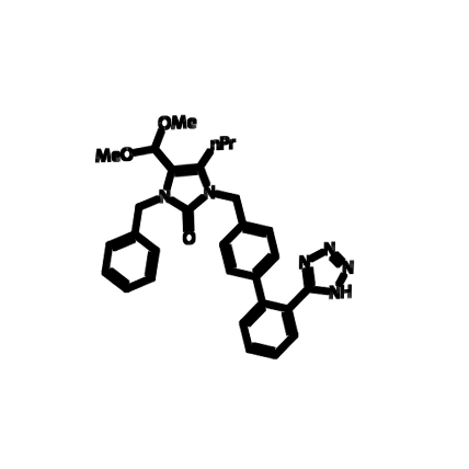 CCCc1c(C(OC)OC)n(Cc2ccccc2)c(=O)n1Cc1ccc(-c2ccccc2-c2nnn[nH]2)cc1